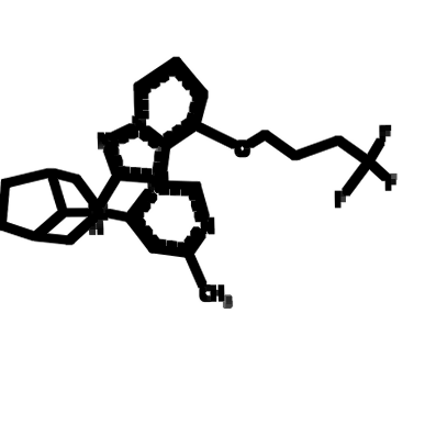 Cc1cc(N2CC3CCC(C2)C3Nc2nc3c(OCCCC(F)(F)F)cccn3n2)ncn1